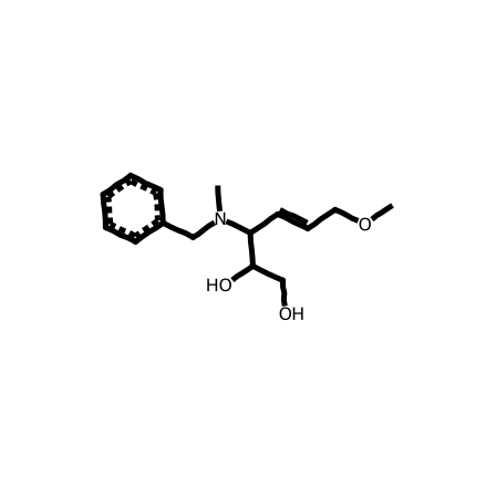 COC/C=C/C(C(O)CO)N(C)Cc1ccccc1